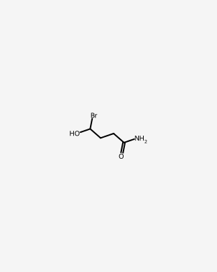 NC(=O)CCC(O)Br